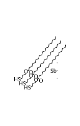 CCCCCCCCCCCCCCCCCC(=O)OCCCS.CCCCCCCCCCCCCCCCCC(=O)OCCCS.CCCCCCCCCCCCCCCCCC(=O)OCCCS.[Sb]